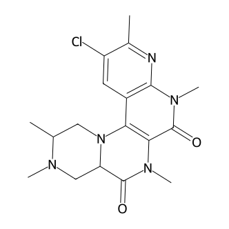 Cc1nc2c(cc1Cl)c1c(c(=O)n2C)N(C)C(=O)C2CN(C)C(C)CN12